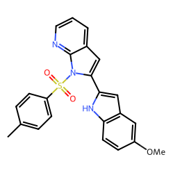 COc1ccc2[nH]c(-c3cc4cccnc4n3S(=O)(=O)c3ccc(C)cc3)cc2c1